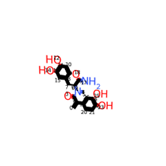 C=C(C(=O)N(C)[C@@H](Cc1ccc(O)c(O)c1)C(N)=O)c1ccc(O)c(O)c1